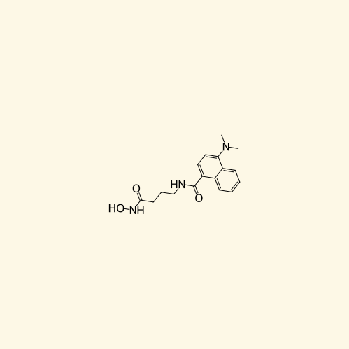 CN(C)c1ccc(C(=O)NCCCC(=O)NO)c2ccccc12